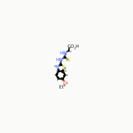 CCOc1ccc2nc(NC(=S)NCC(=O)O)sc2c1